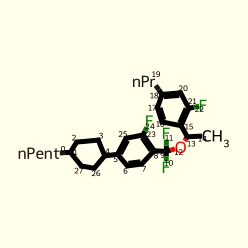 CCCCCC1CCC(c2ccc(C(F)(F)OC(C)c3ccc(CCC)cc3F)c(F)c2)CC1